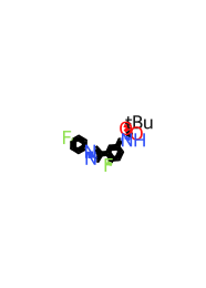 CC(C)(C)OC(=O)NCc1ccc(F)c(-c2cnn(-c3ccc(F)cc3)c2)c1